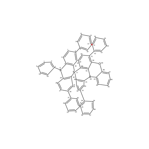 c1ccc(B2c3ccc(-c4ccccc4)cc3[Si]3(c4cc(-c5ccccc5)ccc42)c2ccc(-c4ccccc4)cc2B2c4ccccc4Oc4c(-c5ccccc5)ccc3c42)cc1